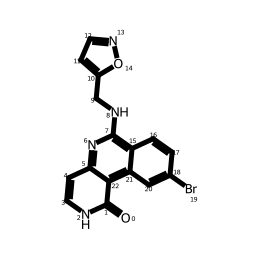 O=c1[nH]ccc2nc(NCc3ccno3)c3ccc(Br)cc3c12